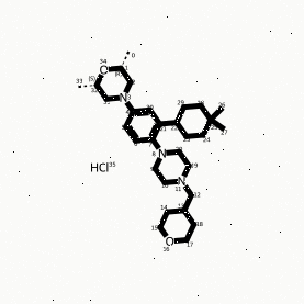 C[C@@H]1CN(c2ccc(N3CCN(CC4CCOCC4)CC3)c(C3CCC(C)(C)CC3)c2)C[C@H](C)O1.Cl